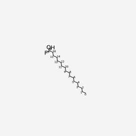 CCCCCCCCCCCCCCCCCC(O)F